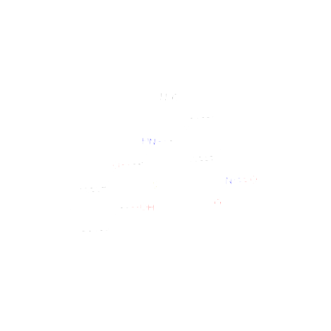 Cc1ccc([N+](=O)[O-])cc1NC(=S)Oc1ccccc1O